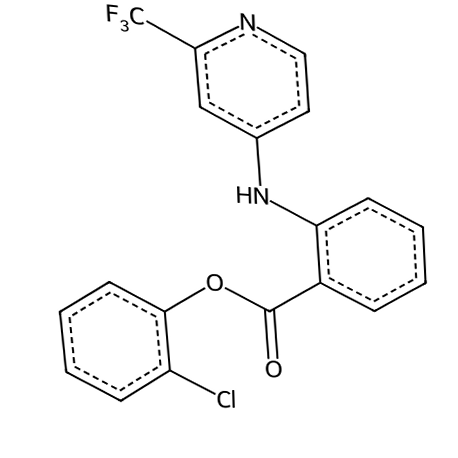 O=C(Oc1ccccc1Cl)c1ccccc1Nc1ccnc(C(F)(F)F)c1